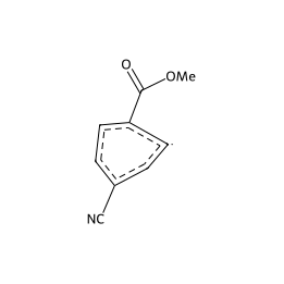 COC(=O)c1[c]cc(C#N)cc1